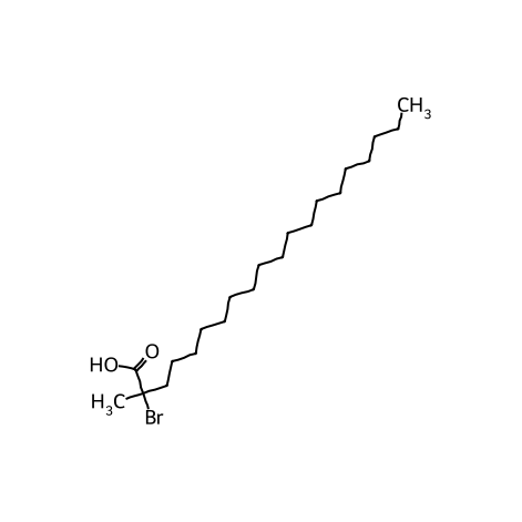 CCCCCCCCCCCCCCCCCCC(C)(Br)C(=O)O